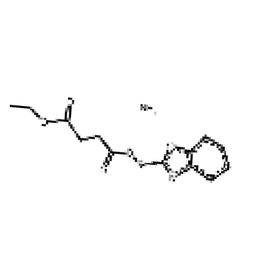 CCOC(=O)CCC(=O)OSc1nc2ccccc2o1.N